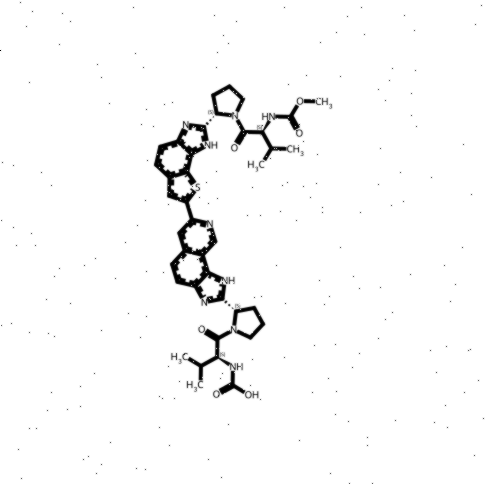 COC(=O)N[C@H](C(=O)N1CCC[C@H]1c1nc2ccc3cc(-c4cc5ccc6nc([C@@H]7CCCN7C(=O)[C@@H](NC(=O)O)C(C)C)[nH]c6c5cn4)sc3c2[nH]1)C(C)C